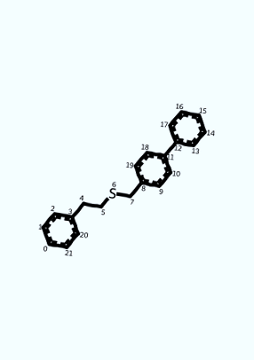 c1ccc(CCSCc2ccc(-c3ccccc3)cc2)cc1